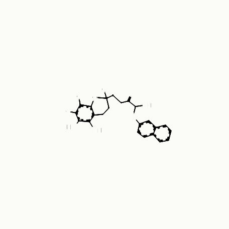 Cc1c(C)c2c(c(C)c1O)CCC(C)(CCC(=O)C(C)Oc1ccc3ccccc3c1)O2